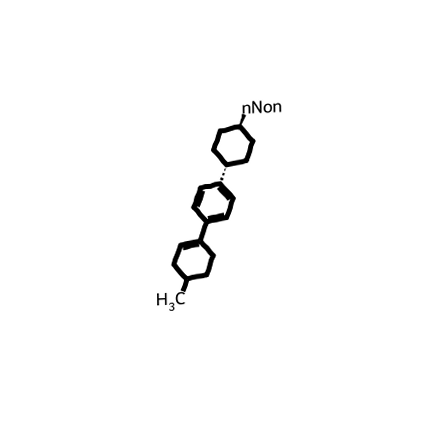 CCCCCCCCC[C@H]1CC[C@H](c2ccc(C3=CCC(C)CC3)cc2)CC1